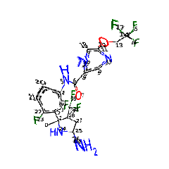 CC1(c2cc(NC(=O)c3cnc(OCC(F)(F)F)cn3)ccc2F)NC(N)CC1C(F)(F)F